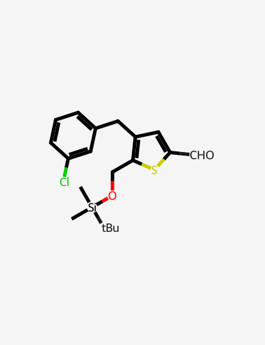 CC(C)(C)[Si](C)(C)OCc1sc(C=O)cc1Cc1cccc(Cl)c1